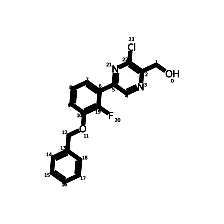 OCc1ncc(-c2cccc(OCc3ccccc3)c2F)nc1Cl